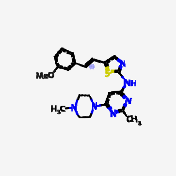 COc1cccc(/C=C/c2cnc(Nc3cc(N4CCN(C)CC4)nc(C)n3)s2)c1